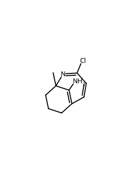 CC12CCCC(=C1N)C=CC(Cl)=N2